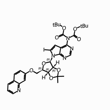 CC(C)(C)OC(=O)N(C(=O)OC(C)(C)C)c1ncnc2c1cc(I)n2[C@@H]1O[C@H](COc2ccc3cccnc3c2)[C@H]2OC(C)(C)O[C@H]21